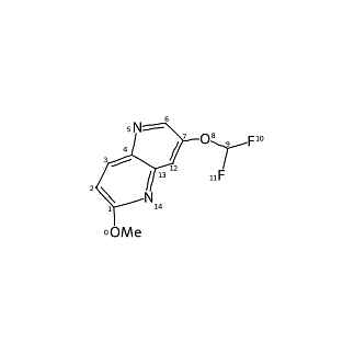 COc1ccc2ncc(OC(F)F)cc2n1